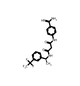 C[C@H](NC(=O)CC(=O)Nc1ccc(C(=N)N)cc1)c1cccc(C(F)(F)C(F)(F)F)c1